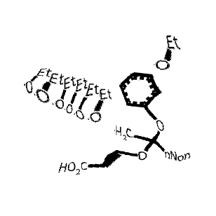 [CH2]C(CCCCCCCCC)(OC=CC(=O)O)Oc1ccccc1.[CH2]C[O].[CH2]C[O].[CH2]C[O].[CH2]C[O].[CH2]C[O].[CH2]C[O].[CH2]C[O]